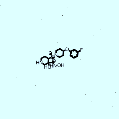 O=C(NO)C1(O)CNCCC1S(=O)(=O)N1CCC(Oc2cccc(F)c2)CC1